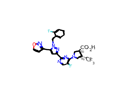 O=C(O)[C@@H]1CN(c2nc(-c3cc(-c4ccon4)n(CC4=CCCC=C4F)n3)ncc2F)C[C@H]1C(F)(F)F